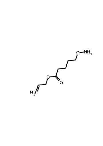 C=CCOC(=O)CCCCON